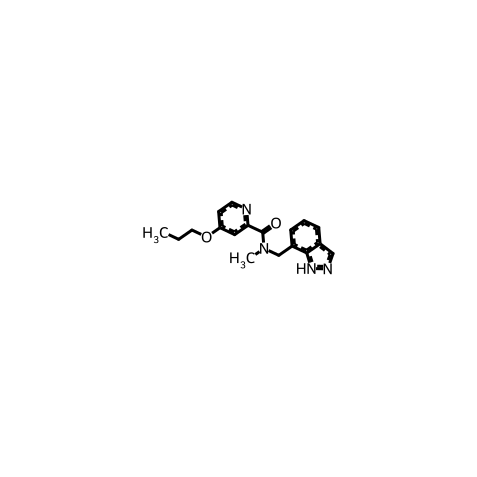 CCCOc1ccnc(C(=O)N(C)Cc2cccc3cn[nH]c23)c1